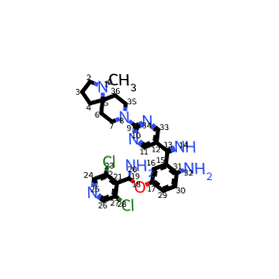 CN1CCCC12CCN(c1ncc(C(=N)c3cc(O[C@H](N)c4c(Cl)cncc4Cl)ccc3N)cn1)CC2